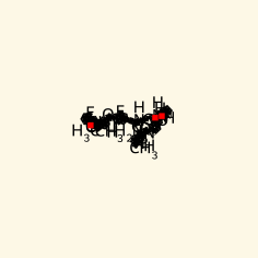 Cc1ccc2c(N)c(C(=O)N[C@H]3CCc4cc(N5C[C@H]6CC[C@@H](C5)C6C(=O)NCCOCCNC(=O)C#Cc5cc(F)c(CNC(=O)c6ccc7c(c6)N(Cc6c(F)cccc6Cl)C(=O)C7(C)C)c(F)c5)ccc4C3)sc2n1